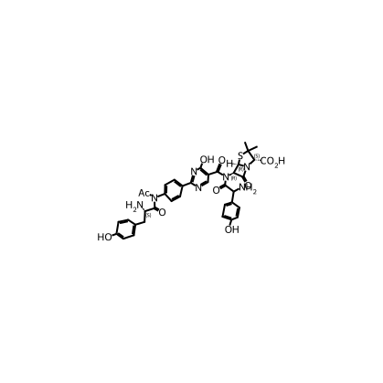 CC(=O)N(C(=O)[C@@H](N)Cc1ccc(O)cc1)c1ccc(-c2ncc(C(=O)N(C(=O)C(N)c3ccc(O)cc3)[C@@H]3C(=O)N4[C@@H]3SC(C)(C)[C@@H]4C(=O)O)c(O)n2)cc1